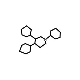 C1CCC(C2CCN(C3CCCCC3)CC2C2CCCCC2)CC1